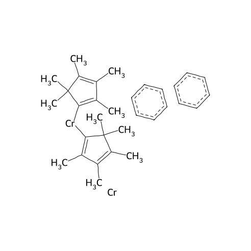 CC1=C(C)C(C)(C)[C]([Cr][C]2=C(C)C(C)=C(C)C2(C)C)=C1C.[Cr].c1ccccc1.c1ccccc1